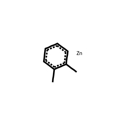 Cc1ccccc1C.[Zn]